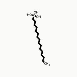 CCCCCCCCCCCCCCCC[Si](O)(O)O